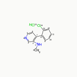 CNc1cnccc1-c1ccccc1Cl.Cl